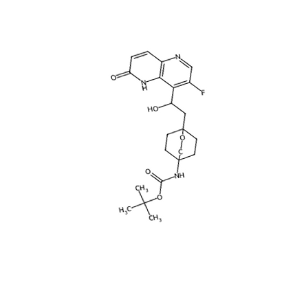 CC(C)(C)OC(=O)NC12CCC(CC(O)c3c(F)cnc4ccc(=O)[nH]c34)(CC1)OC2